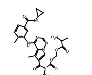 CCCN(C(=O)OCOC(=O)C(C)N)C(=O)c1cn2ncnc(Nc3cc(C(=O)NC4CC4)ccc3C)c2c1C